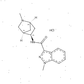 CN1C[C@H]2C[C@@H]1C[C@H]2NC(=O)c1nn(C)c2ccccc12.Cl